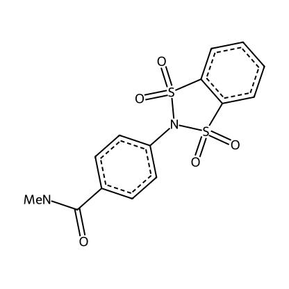 CNC(=O)c1ccc(N2S(=O)(=O)c3ccccc3S2(=O)=O)cc1